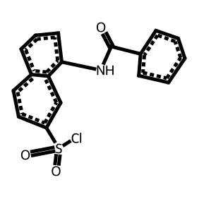 O=C(Nc1cccc2ccc(S(=O)(=O)Cl)cc12)c1ccccc1